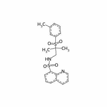 Cc1cccc(S(=O)(=O)C(C)(C)CNS(=O)(=O)c2cccc3cccnc23)c1